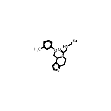 CCC(C)CNCC(=O)N1CCc2sccc2C1COc1cccc(C)c1